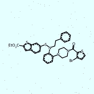 CCOC(=O)c1cc2ccc(SN(CCc3ccccc3)c3ccccc3N3CCN(C(=O)c4sccc4Br)CC3)cc2s1